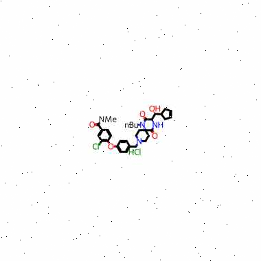 CCCCN1C(=O)[C@@H]([C@H](O)C2CC=CC2)NC(=O)C12CCN(Cc1ccc(Oc3ccc(C(=O)NC)cc3Cl)cc1)CC2.Cl